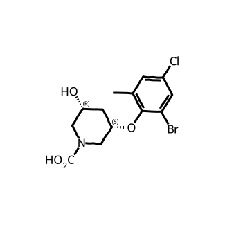 Cc1cc(Cl)cc(Br)c1O[C@H]1C[C@@H](O)CN(C(=O)O)C1